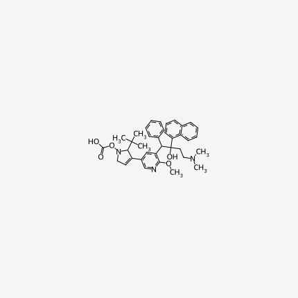 COc1ncc(C2=CCN(OC(=O)O)C2C(C)(C)C)cc1C(c1ccccc1)C(O)(CCN(C)C)c1cccc2ccccc12